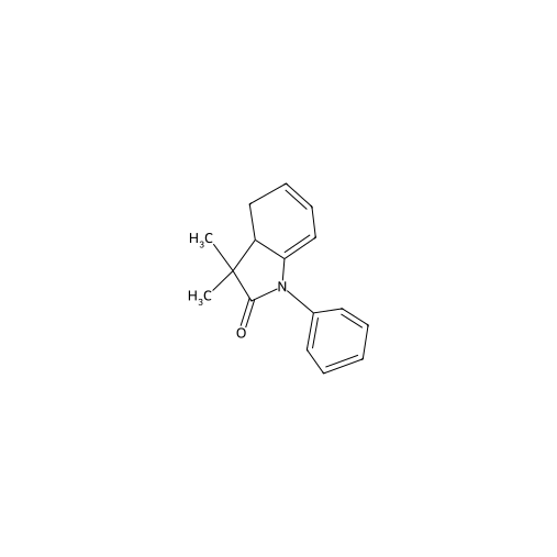 CC1(C)C(=O)N(c2ccccc2)C2=CC=CCC21